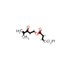 C=C(C)C(=O)CCOC(=O)CCC(=O)O